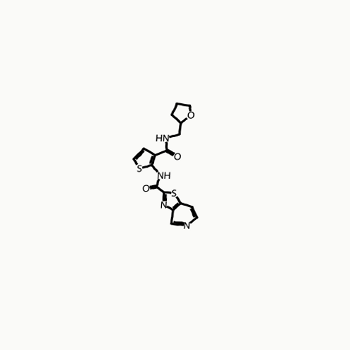 O=C(Nc1sccc1C(=O)NCC1CCCO1)c1nc2cnccc2s1